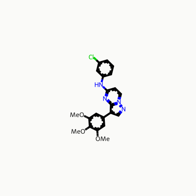 COc1cc(-c2cnn3ccc(Nc4cccc(Cl)c4)nc23)cc(OC)c1OC